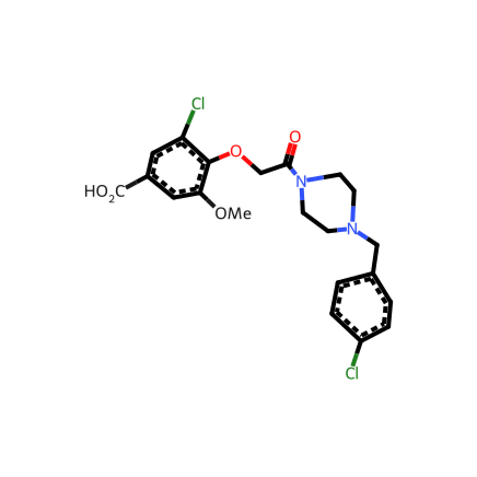 COc1cc(C(=O)O)cc(Cl)c1OCC(=O)N1CCN(Cc2ccc(Cl)cc2)CC1